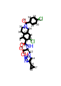 Cc1c2c(cc(Cl)c1C(=O)N[C@@H](Cn1cc(C3CC3)nn1)C(=O)O)CN(C(=O)c1ccc(Cl)cc1)CC2